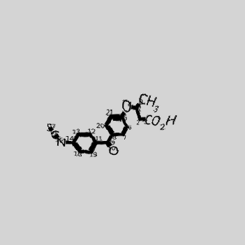 CC(CC(=O)O)Oc1ccc(C(=O)c2ccc(N=C=S)cc2)cc1